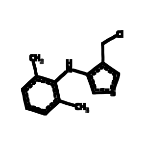 Cc1cccc(C)c1Nc1cscc1CCl